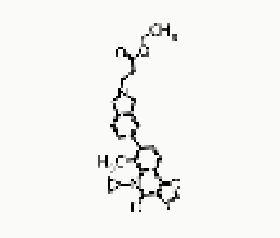 CCOC(=O)CCN1Cc2ccc(-c3ccc4c5ocnc5c(=O)n(C5CC5)c4c3C)cc2C1